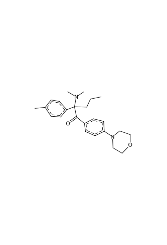 CCCC(C(=O)c1ccc(N2CCOCC2)cc1)(c1ccc(C)cc1)N(C)C